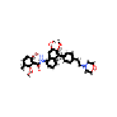 COc1cc2c(NC(=O)c3c(Br)ccc(C)c3OC)cccc2c(-c2ccc(CCN3CCOCC3)cc2)c1OC